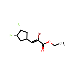 CCOC(=O)/C(Br)=C/C1C[C@@H](F)[C@@H](F)C1